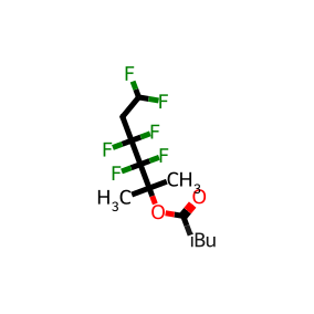 CCC(C)C(=O)OC(C)(C)C(F)(F)C(F)(F)CC(F)F